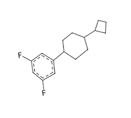 Fc1cc(F)cc(C2CCC(C3CCC3)CC2)c1